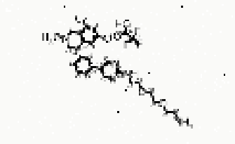 CN1Cc2c(Cl)cc(Cl)cc2[C@H](c2cccc(-c3cnc(NCCOCCOCCN)nc3)c2)C1.O=C(O)C(F)(F)F